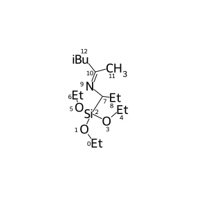 CCO[Si](OCC)(OCC)C(CC)N=C(C)C(C)CC